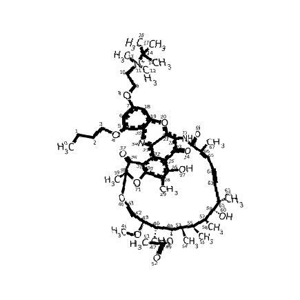 CCCCOc1cc(OCC[N+](C)(C)C(C)(C)C)cc2oc3c4c(=O)c5c(O)c(C)c6c(c5c-3nc12)C(=O)[C@@](C)(O/C=C/[C@H](OC)[C@@H](C)[C@@H](OC(C)=O)[C@H](C)[C@H](C)[C@H](C)[C@@H](O)[C@@H](C)/C=C/C=C(/C)C(=O)N4)O6